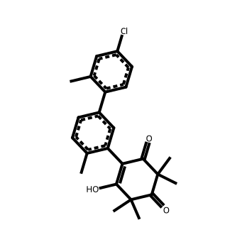 Cc1ccc(-c2ccc(Cl)cc2C)cc1C1=C(O)C(C)(C)C(=O)C(C)(C)C1=O